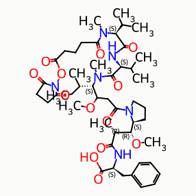 CCC(C)[C@@H](C(CC(=O)N1CCC[C@H]1[C@H](OC)[C@@H](C)C(=O)N[C@@H](Cc1ccccc1)C(=O)O)OC)N(C)C(=O)[C@@H](NC(=O)[C@H](C(C)C)N(C)C(=O)CCCC(=O)ON1C(=O)CCC1=O)C(C)C